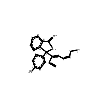 C=C/C(=C\C=C/CC(C)C)C1(c2ccc(O)cc2)OC(=O)c2ccccc21